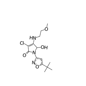 COCCNC1=C(Cl)C(=O)N(c2cc(C(C)(C)C)on2)C1O